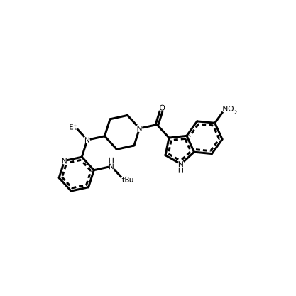 CCN(c1ncccc1NC(C)(C)C)C1CCN(C(=O)c2c[nH]c3ccc([N+](=O)[O-])cc23)CC1